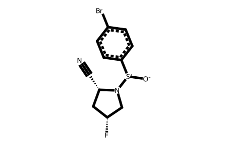 N#C[C@H]1C[C@@H](F)CN1[S+]([O-])c1ccc(Br)cc1